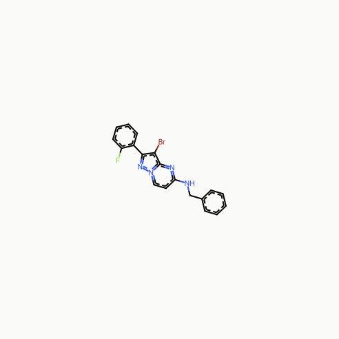 Fc1ccccc1-c1nn2ccc(NCc3ccccc3)nc2c1Br